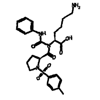 Cc1ccc(S(=O)(=O)N2CCC[C@H]2C(=O)N(C(=O)Nc2ccccc2)[C@@H](CCCCN)C(=O)O)cc1